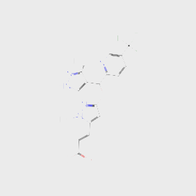 Cc1n[nH]cc1C(Oc1cc(C=CC(=O)O)n(C)n1)c1ccc(C(F)(F)F)cn1